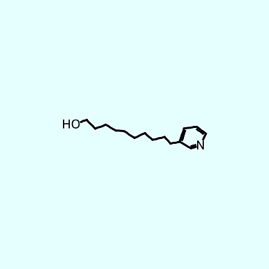 OCCCCCCCCCCc1cccnc1